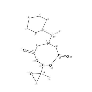 C[C@@H](C1CCCCC1)N1CC(=O)OB(C2(C)CO2)OC(=O)C1